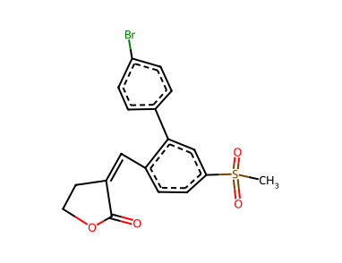 CS(=O)(=O)c1ccc(/C=C2/CCOC2=O)c(-c2ccc(Br)cc2)c1